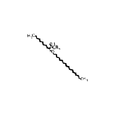 CCCCCC=CCC=CCCCCCCCCOC[C@H](CCCCCCCCC)N(C)C